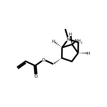 C=CC(=O)OC[C@H]1C[C@@H]2CN(C)[C@H]1[C@@H]2N